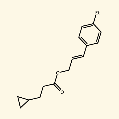 CCc1ccc(C=CCOC(=O)CCC2CC2)cc1